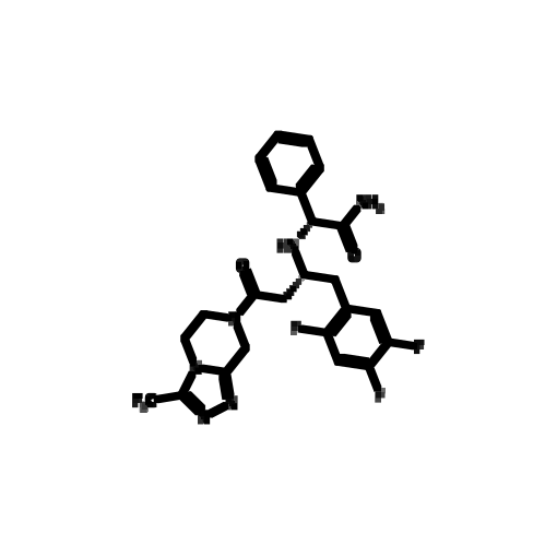 NC(=O)[C@H](N[C@@H](CC(=O)N1CCn2c(nnc2C(F)(F)F)C1)Cc1cc(F)c(F)cc1F)c1ccccc1